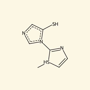 C[SH]1C=CN=C1n1cncc1S